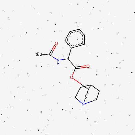 CC(C)(C)C(=O)NC(C(=O)OC1CN2CCC1CC2)c1ccccc1